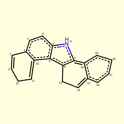 C1=Cc2ccc3[nH]c4c(c3c2=CC1)CC=c1ccccc1=4